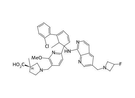 COc1nc(C2(Nc3nccc4cc(CN5CC(F)C5)cnc34)C=CC=C(c3ccccc3Cl)C2C)ccc1CN1CC[C@@](C)(C(=O)O)C1